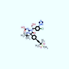 CC(C)(C)C[C@]1(c2ccc(C#CC(C)(C)S(C)(=O)=O)cc2)N/C(=N\C(=O)O)N([C@H](CO)c2ccc(Cl)c(-n3cncn3)c2)C1=O